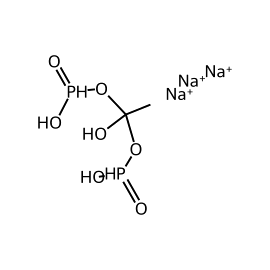 CC(O)(O[PH](=O)O)O[PH](=O)O.[Na+].[Na+].[Na+]